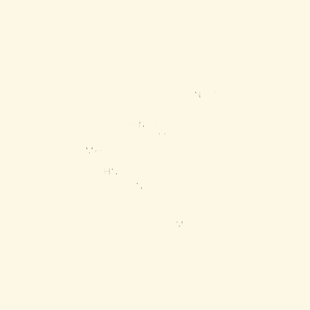 COc1ccc2oc(Nc3ccc(NC(=O)CCCNC(=O)O)cc3OC)nc2c1